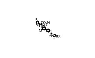 CC(C)(C)OC(=O)NCCOc1ccc(-c2cc(Cl)c3cn(C(C(=O)O)c4ncn5c4CC(F)C5)nc3c2Cl)cc1